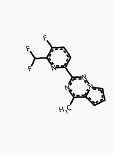 Cc1nc(-c2ccc(F)c(C(F)F)n2)nn2cccc12